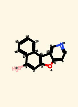 Bc1cc2oc3ccncc3c2c2ccccc12